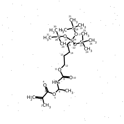 C=C(C)C(=O)OC(C)NC(=O)OCCCC[Si](O[Si](C)(C)C)(O[Si](C)(C)C)O[Si](C)(C)C